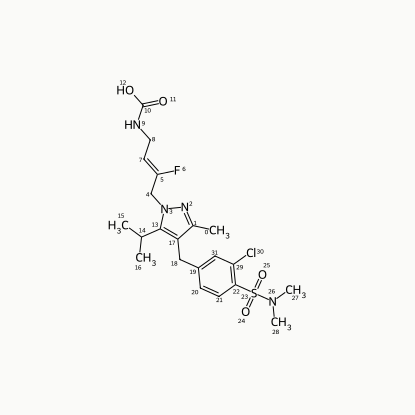 Cc1nn(C/C(F)=C/CNC(=O)O)c(C(C)C)c1Cc1ccc(S(=O)(=O)N(C)C)c(Cl)c1